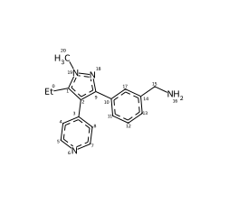 CCc1c(-c2ccncc2)c(-c2cccc(CN)c2)nn1C